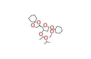 CCOC1(O[C@@H]2C[C@@H](OC(C)OC(C)C)[C@@H](C3COC4(CCCCC4)O3)O2)CCCCC1